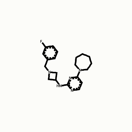 Fc1cccc(CN2CC(Nc3nccc(N4CCCCCC4)n3)C2)c1